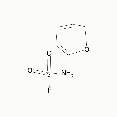 C1=CCOC=C1.NS(=O)(=O)F